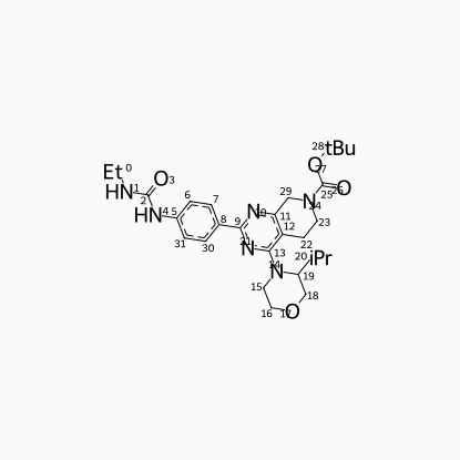 CCNC(=O)Nc1ccc(-c2nc3c(c(N4CCOCC4C(C)C)n2)CCN(C(=O)OC(C)(C)C)C3)cc1